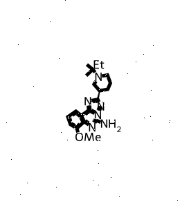 CCC(C)(C)N1CCC[C@@H](c2nc3c4cccc(OC)c4nc(N)n3n2)C1